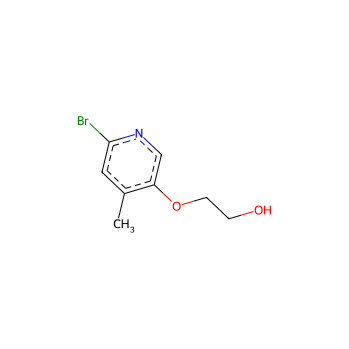 Cc1cc(Br)ncc1OCCO